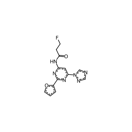 O=C(CCF)Nc1cc(-n2cncn2)nc(-c2ccco2)n1